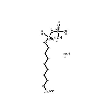 CCCCCCCCCCCCCCCCCCOP(=O)(O)OP(=O)(O)O.[NaH]